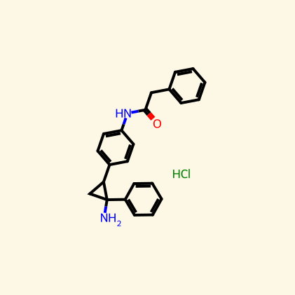 Cl.NC1(c2ccccc2)CC1c1ccc(NC(=O)Cc2ccccc2)cc1